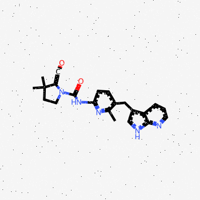 Cc1nc(NC(=O)N2CCC(C)(C)C2=C=O)ccc1Cc1c[nH]c2ncccc12